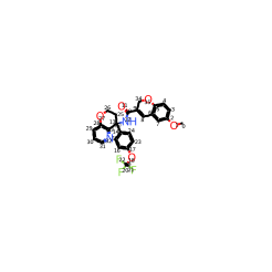 COc1ccc2c(c1)C=C(C(=O)N[C@]1(c3ccc(OC(F)(F)F)cc3)CCOc3cccnc31)CO2